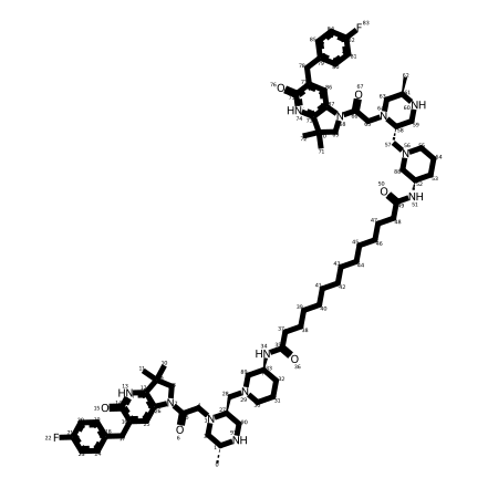 C[C@@H]1CN(CC(=O)N2CC(C)(C)c3[nH]c(=O)c(Cc4ccc(F)cc4)cc32)[C@@H](CN2CCC[C@H](NC(=O)CCCCCCCCCCCCC(=O)N[C@H]3CCCN(C[C@H]4CN[C@H](C)CN4CC(=O)N4CC(C)(C)c5[nH]c(=O)c(Cc6ccc(F)cc6)cc54)C3)C2)CN1